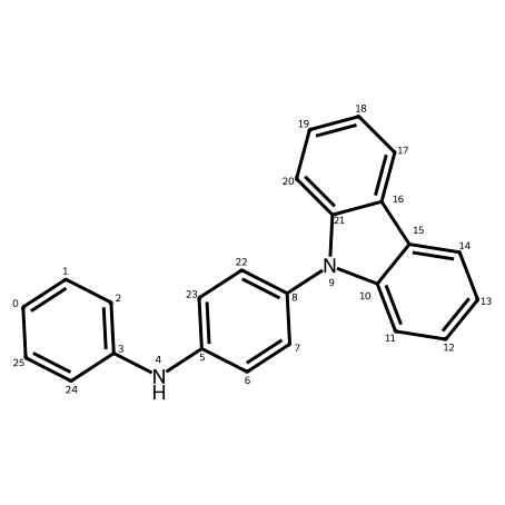 c1ccc(Nc2ccc(-n3c4ccccc4c4ccccc43)cc2)cc1